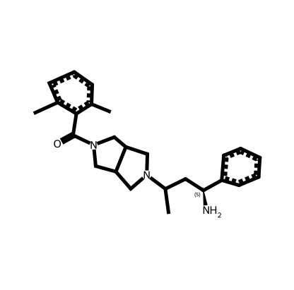 Cc1cccc(C)c1C(=O)N1CC2CN(C(C)C[C@H](N)c3ccccc3)CC2C1